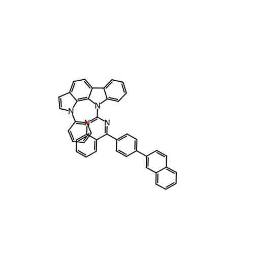 c1ccc(-n2ccc3ccc4c5ccccc5n(-c5nc(-c6ccc(-c7ccc8ccccc8c7)cc6)c6ccccc6n5)c4c32)cc1